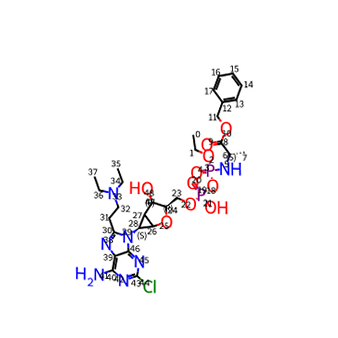 CCOP(=O)(N[C@@H](C)C(=O)OCc1ccccc1)OP(=O)(O)OC[C@H]1OC2C([C@@H]2n2c(CCN(CC)CC)nc3c(N)nc(Cl)nc32)[C@H]1O